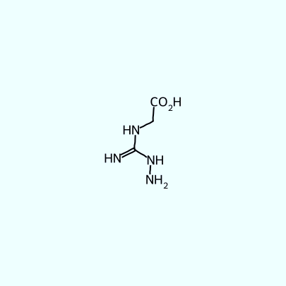 N=C(NN)NCC(=O)O